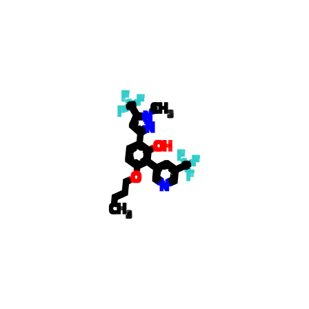 CCCCOc1ccc(-c2cc(C(F)(F)F)n(C)n2)c(O)c1-c1cncc(C(F)(F)F)c1